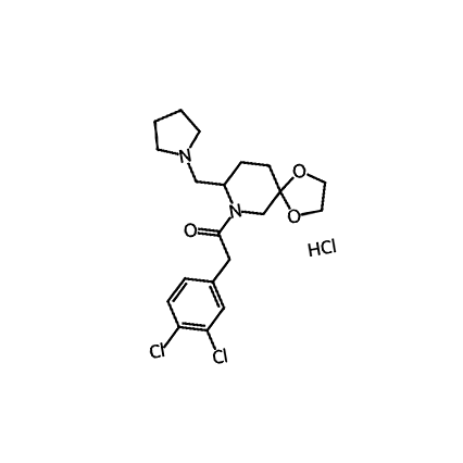 Cl.O=C(Cc1ccc(Cl)c(Cl)c1)N1CC2(CCC1CN1CCCC1)OCCO2